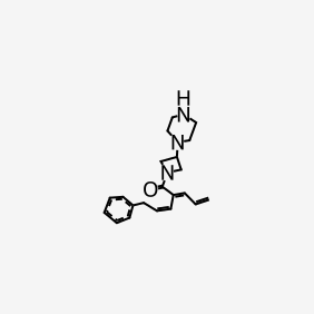 C=C/C=C(\C=C/Cc1ccccc1)C(=O)N1CC(N2CCNCC2)C1